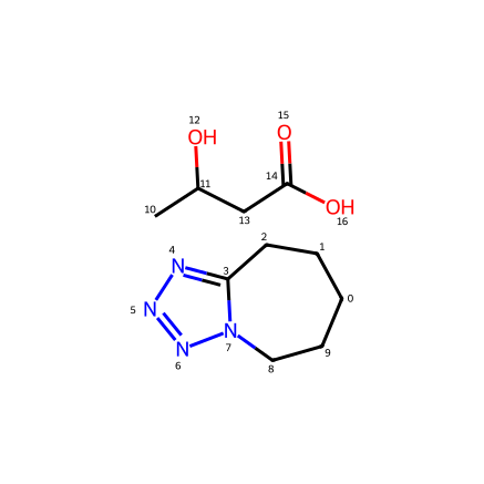 C1CCc2nnnn2CC1.CC(O)CC(=O)O